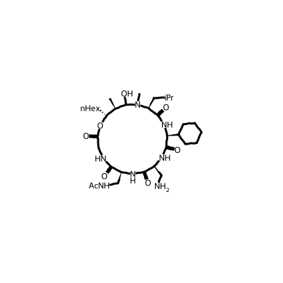 CCCCCC[C@H]1OC(=O)CNC(=O)[C@H](CNC(C)=O)NC(=O)[C@H](CN)NC(=O)[C@H](C2CCCCC2)NC(=O)[C@H](CC(C)C)N(C)C(O)[C@@H]1C